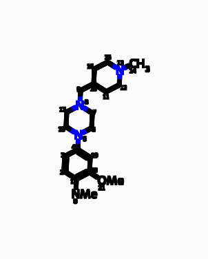 CNc1ccc(N2CCN(CC3CCN(C)CC3)CC2)cc1OC